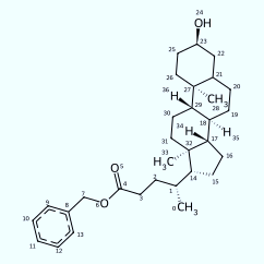 C[C@H](CCC(=O)OCc1ccccc1)[C@H]1CC[C@H]2[C@@H]3CCC4C[C@H](O)CC[C@]4(C)[C@H]3CC[C@]12C